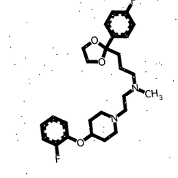 CN(CCCC1(c2ccc(F)cc2)OCCO1)CCN1CCC(Oc2ccccc2F)CC1